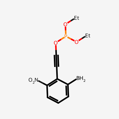 Bc1cccc([N+](=O)[O-])c1C#COP(OCC)OCC